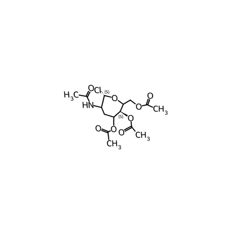 CC(=O)NC1CC(OC(C)=O)[C@H](OC(C)=O)C(COC(C)=O)O[C@H]1Cl